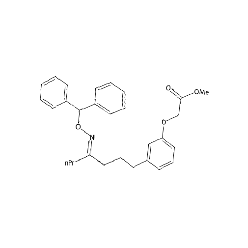 CCCC(CCCc1cccc(OCC(=O)OC)c1)=NOC(c1ccccc1)c1ccccc1